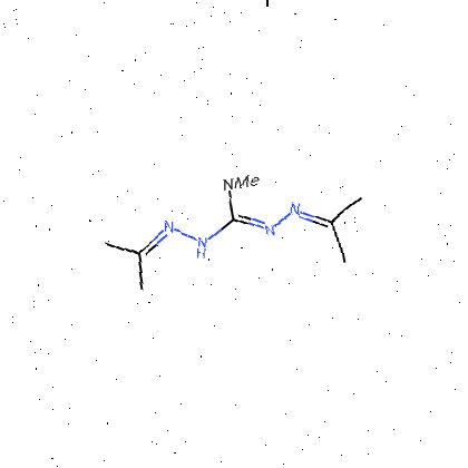 CN/C(=N\N=C(C)C)NN=C(C)C